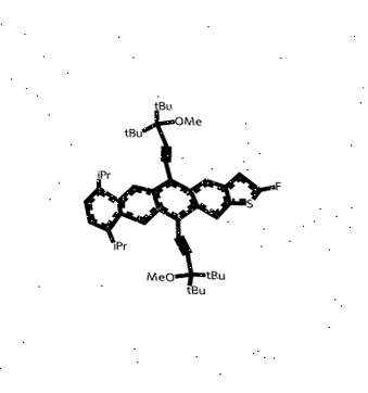 COC(C#Cc1c2cc3cc(F)sc3cc2c(C#CC(OC)(C(C)(C)C)C(C)(C)C)c2cc3c(C(C)C)ccc(C(C)C)c3cc12)(C(C)(C)C)C(C)(C)C